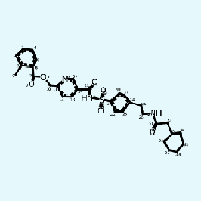 Cc1ccccc1C(=O)OCc1ccc(C(=O)NS(=O)(=O)c2ccc(CCNC(=O)CC3CCCCC3)cc2)cn1